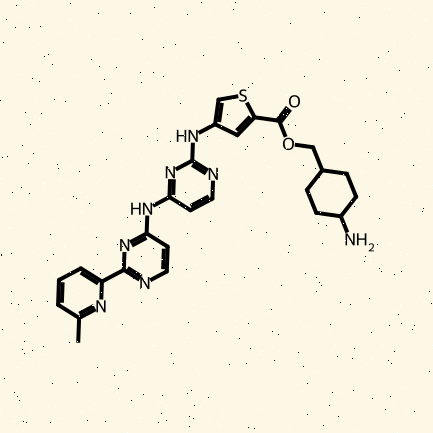 Cc1cccc(-c2nccc(Nc3ccnc(Nc4csc(C(=O)OCC5CCC(N)CC5)c4)n3)n2)n1